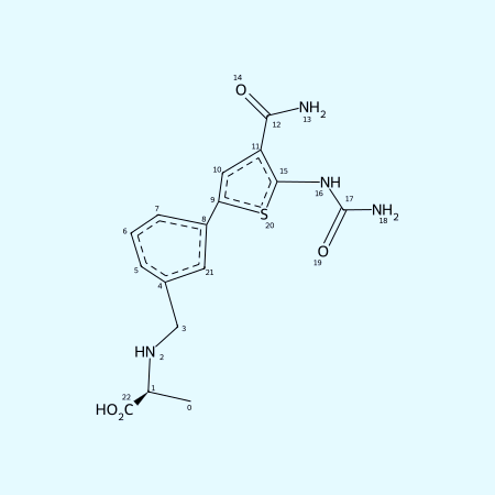 C[C@H](NCc1cccc(-c2cc(C(N)=O)c(NC(N)=O)s2)c1)C(=O)O